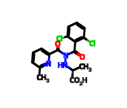 Cc1cccc(C(=O)N(N[C@@H](C)C(=O)O)C(=O)c2c(Cl)cccc2Cl)n1